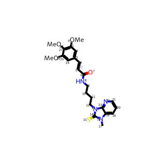 COc1cc(/C=C/C(=O)NCCCCn2c(=S)n(C)c3cccnc32)cc(OC)c1OC